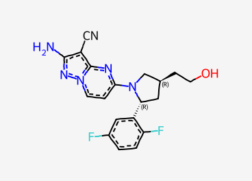 N#Cc1c(N)nn2ccc(N3C[C@@H](CCO)C[C@@H]3c3cc(F)ccc3F)nc12